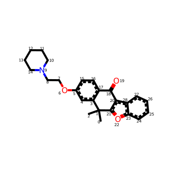 CC1(C)c2cc(OCCN3CCCCC3)ccc2C(=O)c2c1oc1ccccc21